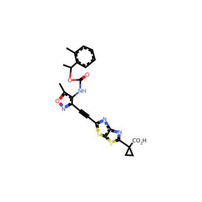 Cc1ccccc1C(C)OC(=O)Nc1c(C#Cc2nc3nc(C4(C(=O)O)CC4)sc3s2)noc1C